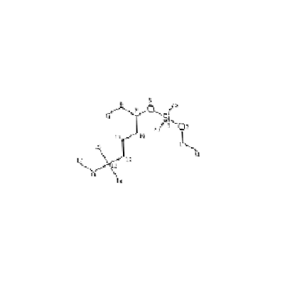 CCO[Si](C)(C)OC(CC)CCCC(C)(C)CC